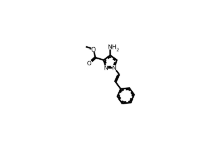 COC(=O)c1nn(C=Cc2ccccc2)cc1N